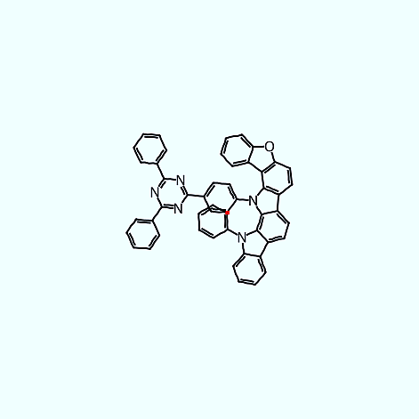 c1ccc(-c2nc(-c3ccccc3)nc(-c3ccc(-n4c5c(ccc6oc7ccccc7c65)c5ccc6c7ccccc7n(-c7ccccc7)c6c54)cc3)n2)cc1